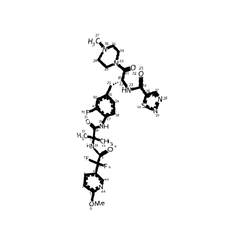 COc1ccc(C(F)(F)C(=O)NC(C)(C)C(=O)Nc2ccc(C[C@@H](NC(=O)c3cnns3)C(=O)N3CCN(C)CC3)cc2F)cn1